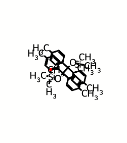 Cc1ccc(C(O[Si](C)(C)C)(c2ccc(C)cc2)C(O[Si](C)(C)C)(c2ccc(C)cc2)c2ccc(C)cc2)cc1